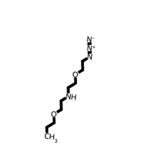 CCCOCCNCCOCCN=[N+]=[N-]